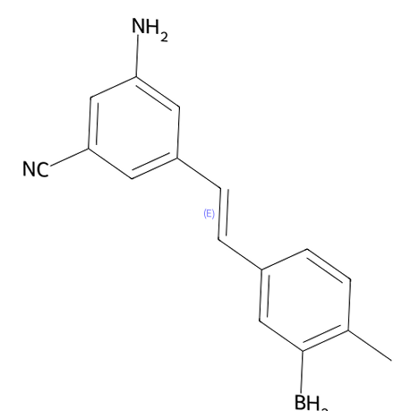 Bc1cc(/C=C/c2cc(N)cc(C#N)c2)ccc1C